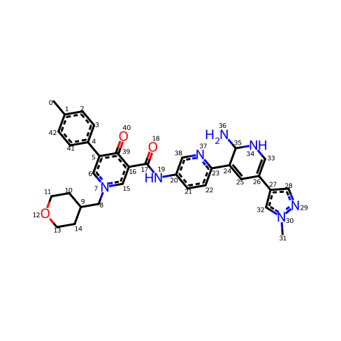 Cc1ccc(-c2cn(CC3CCOCC3)cc(C(=O)Nc3ccc(C4=CC(c5cnn(C)c5)=CNC4N)nc3)c2=O)cc1